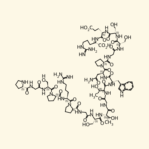 C[C@@H](O)[C@H](NC(=O)CNC(=O)[C@@H](NC(=O)[C@H](CO)NC(=O)CNC(=O)[C@@H]1CCCN1C(=O)[C@H](CCCNC(=N)N)NC(=O)[C@@H]1CCCN1C(=O)[C@H](CO)NC(=O)CNC(=O)[C@@H]1CCCN1)[C@@H](C)O)C(=O)N[C@@H](Cc1c[nH]c2ccccc12)C(=O)N[C@@H](CC(N)=O)C(=O)N1CCC[C@H]1C(=O)NCC(=O)N[C@@H](CO)C(=O)N[C@@H](CO)C(=O)N[C@@H](CCC(=O)O)C(=O)N[C@@H](CCCNC(=N)N)C(=O)O